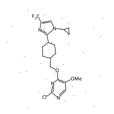 COc1cnc(Cl)nc1OCC1CCC(c2nc(C(F)(F)F)cn2C2CC2)CC1